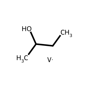 CCC(C)O.[V]